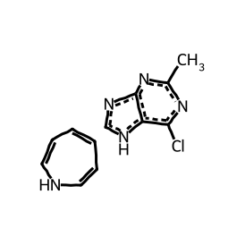 C1=CC=CNC=C1.Cc1nc(Cl)c2[nH]cnc2n1